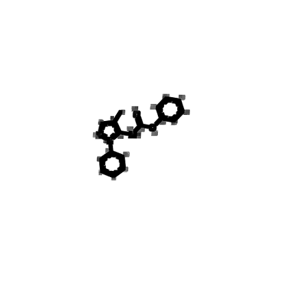 Cc1[c]nn(-c2ccccc2)c1NC(=O)Oc1ccccc1